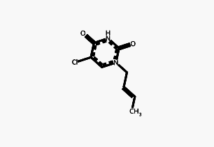 CC=CCn1cc(Cl)c(=O)[nH]c1=O